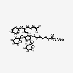 COC(=O)CCCC=CC[C@@H]1[C@@H](C=C[C@H](CCC=C(C)C)OC2CCCCO2)[C@H](OC2CCCCO2)C[C@@H]1OC1CCCCO1